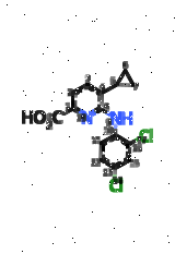 O=C(O)c1ccc(C2CC2)c(Nc2ccc(Cl)cc2Cl)n1